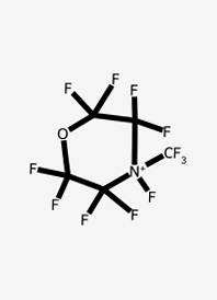 FC1(F)OC(F)(F)C(F)(F)[N+](F)(C(F)(F)F)C1(F)F